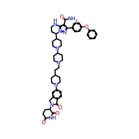 NC(=O)c1c(-c2ccc(Oc3ccccc3)cc2)nn2c1NCCC2C1CCN(C2CCN(CCC3CCN(c4ccc5c(c4)CN(C4CCC(=O)NC4=O)C5=O)CC3)CC2)CC1